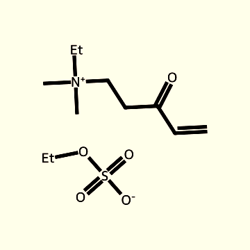 C=CC(=O)CC[N+](C)(C)CC.CCOS(=O)(=O)[O-]